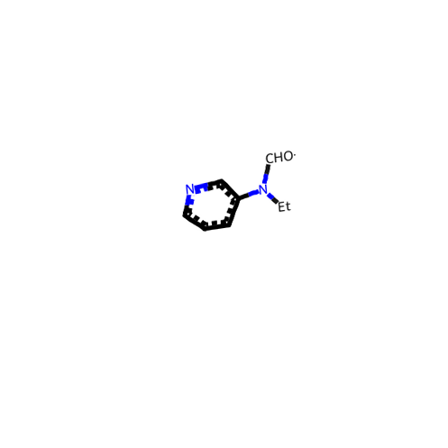 CCN([C]=O)c1cccnc1